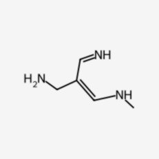 CN/C=C(\C=N)CN